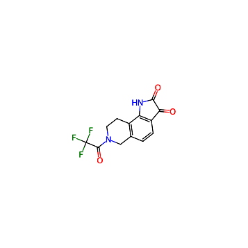 O=C1Nc2c(ccc3c2CCN(C(=O)C(F)(F)F)C3)C1=O